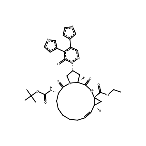 CCOC(=O)[C@@]12C[C@H]1/C=C\CCCCC[C@H](NC(=O)OC(C)(C)C)C(=O)N1C[C@H](n3ncc(-c4ccsc4)c(-c4ccsc4)c3=O)C[C@H]1C(=O)N2